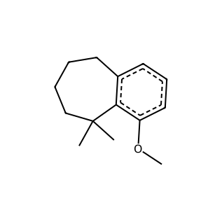 COc1cccc2c1C(C)(C)CCCC2